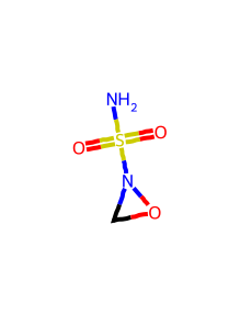 NS(=O)(=O)N1CO1